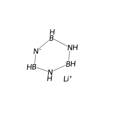 B1[N-]BNBN1.[Li+]